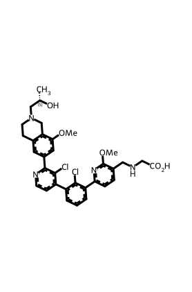 COc1cc(-c2nccc(-c3cccc(-c4ccc(CNCC(=O)O)c(OC)n4)c3Cl)c2Cl)cc2c1CN(C[C@H](C)O)CC2